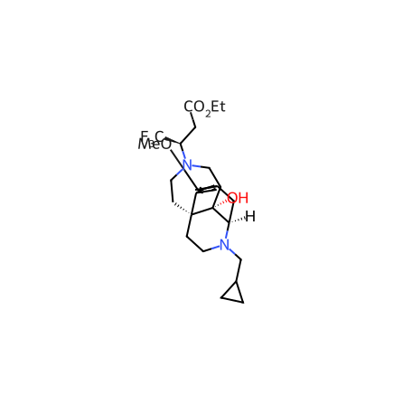 CCOC(=O)C[C@@H](N1CC[C@]23CCN(CC4CC4)[C@H](Cc4ccc(OC)cc42)[C@]3(O)CC1)C(F)(F)F